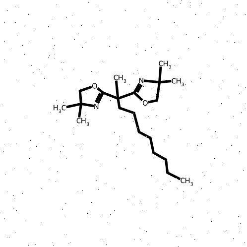 CCCCCCCCC(C)(C1=NC(C)(C)CO1)C1=NC(C)(C)CO1